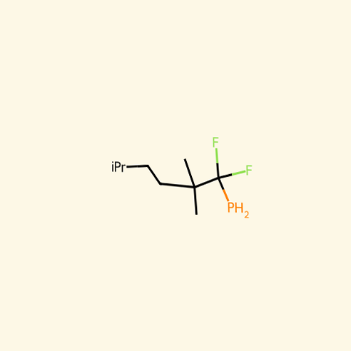 CC(C)CCC(C)(C)C(F)(F)P